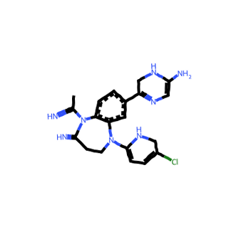 CC(=N)N1C(=N)CCN(C2=CC=C(Cl)CN2)c2cc(C3=NC=C(N)NC3)ccc21